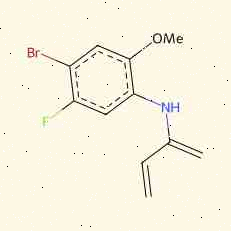 C=CC(=C)Nc1cc(F)c(Br)cc1OC